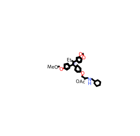 CC/C(=C(\c1ccc(OCOC)cc1)c1ccc(OCC(CNCC2CCCCC2)OC(C)=O)cc1)c1ccc2c(c1)OCO2